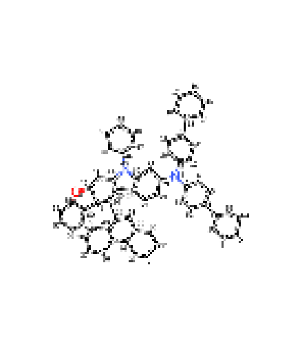 c1ccc(-c2ccc(N(c3ccc(-c4ccccc4)cc3)c3ccc4c5c(-c6cc7ccccc7c7ccccc67)c6c(cc5n(-c5ccccc5)c4c3)oc3ccccc36)cc2)cc1